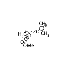 COC(=O)CO/N=C(\C)C(CI)(CI)CCCOc1cc(C)c(I)cc1C